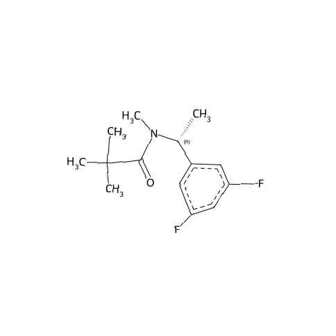 C[C@H](c1cc(F)cc(F)c1)N(C)C(=O)C(C)(C)C